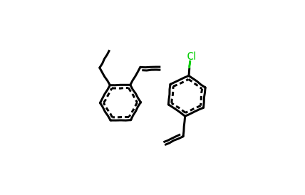 C=Cc1ccc(Cl)cc1.C=Cc1ccccc1CC